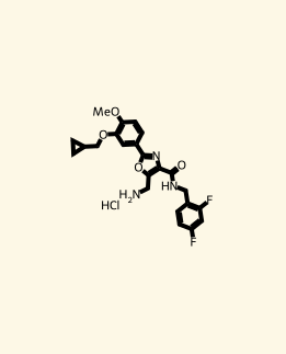 COc1ccc(-c2nc(C(=O)NCc3ccc(F)cc3F)c(CN)o2)cc1OCC1CC1.Cl